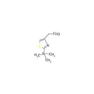 C[Si](C)(C)c1nc(CC=O)cs1